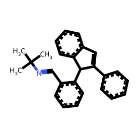 CC(C)(C)N=Cc1ccccc1C1C(c2ccccc2)=Cc2ccccc21